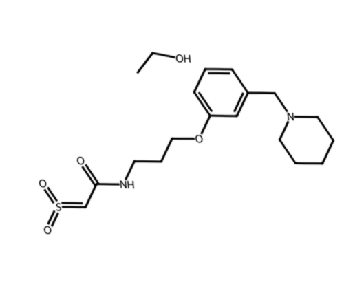 CCO.O=C(C=S(=O)=O)NCCCOc1cccc(CN2CCCCC2)c1